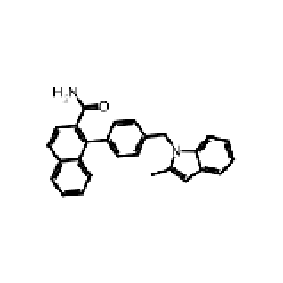 Cc1cc2ccccc2n1Cc1ccc(-c2c(C(N)=O)ccc3ccccc23)cc1